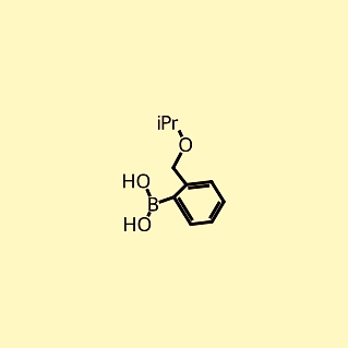 CC(C)OCc1ccccc1B(O)O